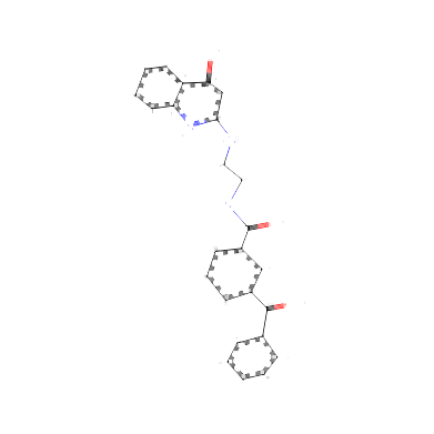 O=C(NCCNc1cc(=O)c2ccccc2[nH]1)c1cccc(C(=O)c2ccccc2)c1